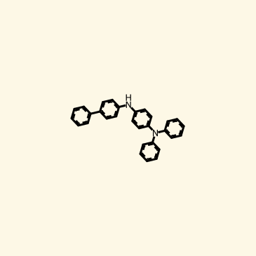 c1ccc(-c2ccc(Nc3ccc(N(c4ccccc4)c4ccccc4)cc3)cc2)cc1